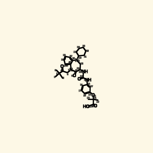 CC(C)(C)C(=O)CN1C(=O)[C@H](NC(=O)Nc2cccc(OC(C)(C)C(=O)O)c2)CN(C2CCCCC2)c2ccccc21